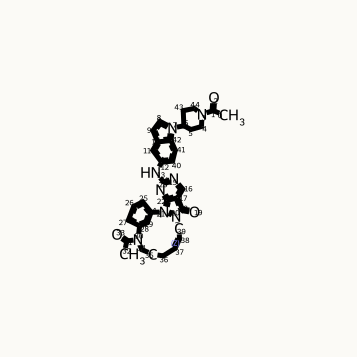 CC(=O)N1CCC(n2ccc3cc(Nc4ncc5c(=O)n6n(c5n4)-c4cccc(c4)N(C(C)=O)CCC/C=C\C6)ccc32)CC1